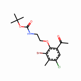 CC(=O)c1cc(Cl)c(C)c(Br)c1OCCNC(=O)OC(C)(C)C